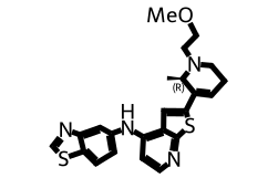 COCCN1CCC=C(c2cc3c(Nc4ccc5scnc5c4)ccnc3s2)[C@H]1C